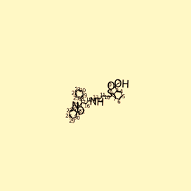 O=C(O)c1ccccc1SCCCCNCCC(c1ccccc1)c1nc2ccccc2o1